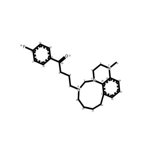 CN1CCN2CN(CCCC(=O)c3ccc(F)cc3)CCCCc3cccc1c32